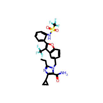 CCc1nc(C2CC2)c(C(N)=O)n1Cc1ccc2oc(-c3ccccc3NS(=O)(=O)C(F)(F)F)c(C(F)(F)F)c2c1